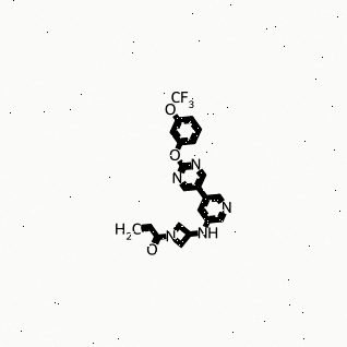 C=CC(=O)N1CC(Nc2cncc(-c3cnc(Oc4cccc(OC(F)(F)F)c4)nc3)c2)C1